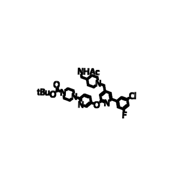 CC(=O)NCC1CCN(Cc2cc(Oc3ccc(N4CCN(C(=O)OC(C)(C)C)CC4)nc3)nc(-c3cc(F)cc(Cl)c3)c2)CC1